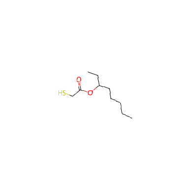 CCCCCC(CC)OC(=O)CS